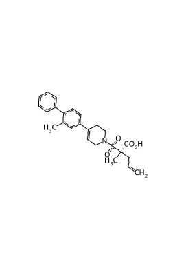 C=CC[C@](C)(C(=O)O)S(=O)(=O)N1CC=C(c2ccc(-c3ccccc3)c(C)c2)CC1